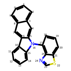 c1ccc2cc3c(cc2c1)c1ccccc1n3-c1cccc2scnc12